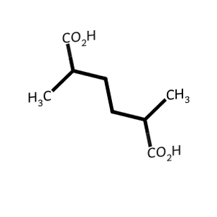 CC(CCC(C)C(=O)O)C(=O)O